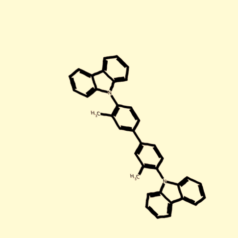 Cc1cc(-c2ccc(-n3c4ccccc4c4ccccc43)c(C)c2)ccc1-n1c2ccccc2c2ccccc21